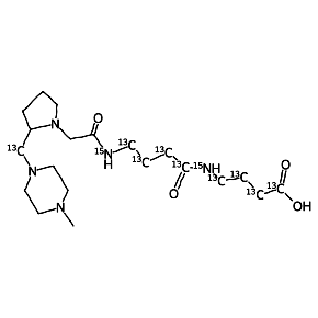 CN1CCN([13CH2]C2CCCN2CC(=O)[15NH][13CH2][13CH2][13CH2][13C](=O)[15NH][13CH2][13CH2][13CH2][13C](=O)O)CC1